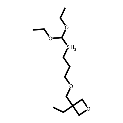 CCOC(OCC)[SiH2]CCCOCC1(CC)COC1